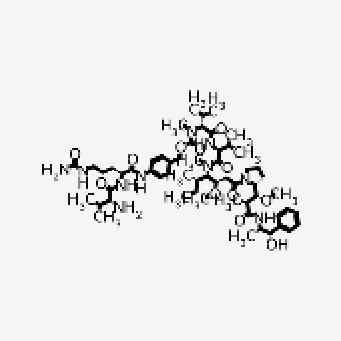 CC[C@H](C)[C@H]([C@@H](CC(=O)N1CCC[C@@H]1[C@H](OC)[C@H](C)C(=O)N[C@H](C)[C@@H](O)c1ccccc1)OC)N(C)C(=O)[C@@H](NC(=O)[C@@H](C(C)C)N(C)C(=O)OCc1ccc(NC(=O)[C@H](CCCNC(N)=O)NC(=O)[C@H](N)C(C)C)cc1)C(C)C